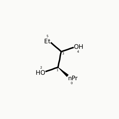 CCC[C@@H](O)C(O)CC